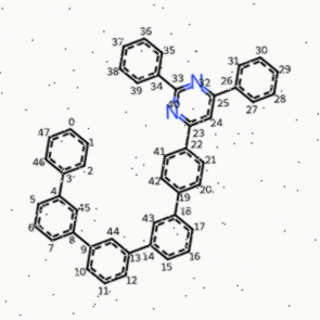 c1ccc(-c2cccc(-c3cccc(-c4cccc(-c5ccc(-c6cc(-c7ccccc7)nc(-c7ccccc7)n6)cc5)c4)c3)c2)cc1